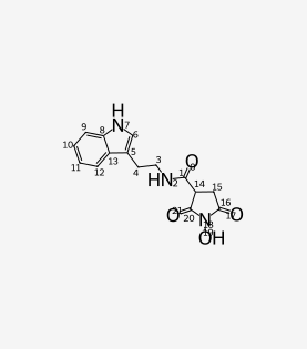 O=C(NCCc1c[nH]c2ccccc12)C1CC(=O)N(O)C1=O